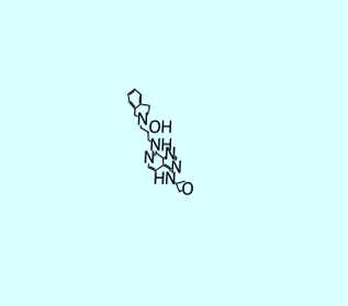 OC(CNc1nccc2c(NC3COC3)ncnc12)CN1CCc2ccccc2C1